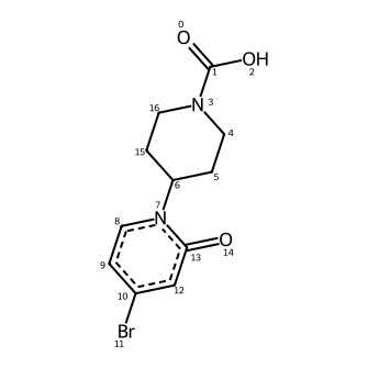 O=C(O)N1CCC(n2ccc(Br)cc2=O)CC1